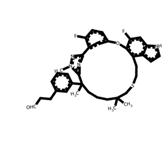 Cn1nc2nc1C(C)(c1cccc(CCC=O)c1)CCCC(C)(C)CSCCc1c(c(F)cc3[nH]ccc13)Oc1ccc(F)c-2c1